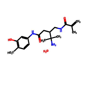 C=C(C)C(=O)NCC(CC(=O)Nc1ccc(C(=O)O)c(O)c1)C(C)(C)N.O